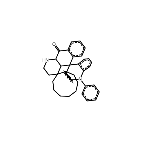 O=C1c2ccccc2C2(c3ccccc3N(c3ccccc3)c3ccccc32)C2C1NCCC21CCCCCCCC1